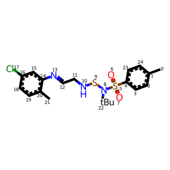 Cc1ccc(S(=O)(=O)N(SNCC=Nc2cc(Cl)ccc2C)C(C)(C)C)cc1